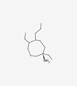 CCCC1CC[C@](N)(CC)CCCC1CC